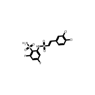 NS(=O)(=O)c1c(F)cc(F)cc1NS(=O)(=O)/C=C/c1ccc(Cl)c(Cl)c1